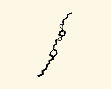 CCCCCCCCC1CCC(CCCOc2ccc(OCCCCC)cc2)CC1